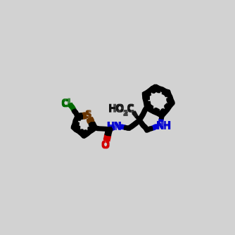 O=C(NC[C@@]1(C(=O)O)CNc2ccccc21)c1ccc(Cl)s1